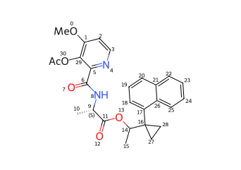 COc1ccnc(C(=O)N[C@@H](C)C(=O)OC(C)C2(c3cccc4ccccc34)CC2)c1OC(C)=O